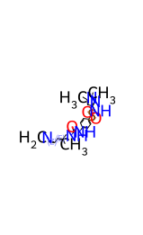 C=N/C=C\C=C(/C)CNC(=O)Nc1ccc(S(=O)(=O)Nc2cc(C)n(C)n2)cc1